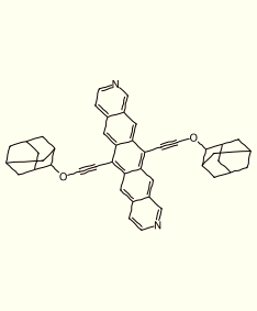 C(#Cc1c2cc3ccncc3cc2c(C#COC2C3CC4CC(C3)CC2C4)c2cc3cnccc3cc12)OC1C2CC3CC(C2)CC1C3